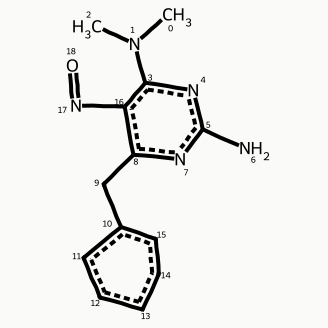 CN(C)c1nc(N)nc(Cc2ccccc2)c1N=O